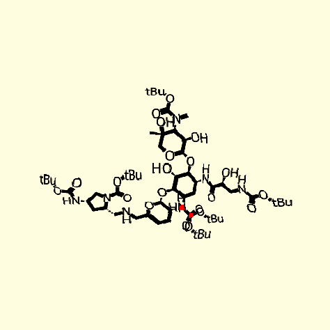 CN(C(=O)OC(C)(C)C)[C@@H]1[C@@H](O)[C@@H](O[C@@H]2[C@@H](O)[C@H](O[C@H]3OC(CNC[C@@H]4C[C@H](NC(=O)OC(C)(C)C)CN4C(=O)OC(C)(C)C)=CC[C@H]3NC(=O)OC(C)(C)C)[C@@H](NC(=O)OC(C)(C)C)C[C@H]2NC(=O)[C@@H](O)CNC(=O)OC(C)(C)C)OC[C@]1(C)O